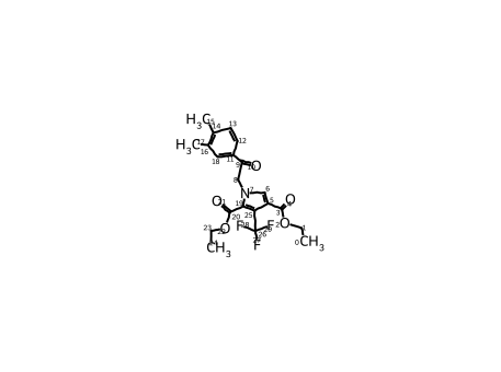 CCOC(=O)c1cn(CC(=O)c2ccc(C)c(C)c2)c(C(=O)OCC)c1C(F)(F)F